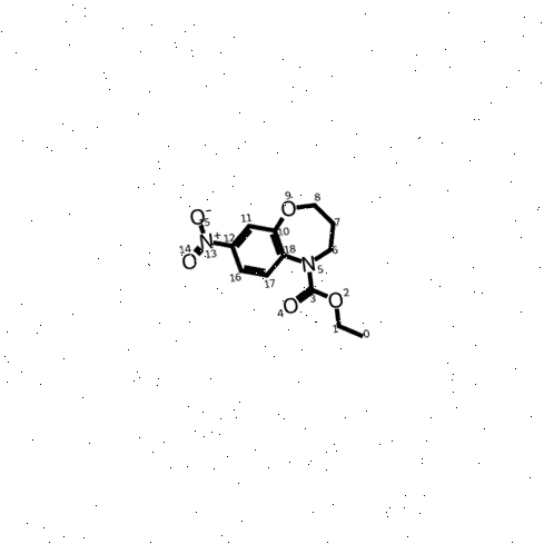 CCOC(=O)N1CCCOc2cc([N+](=O)[O-])ccc21